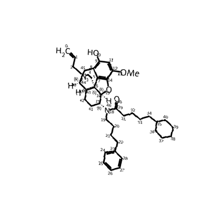 C=CCN1CC[C@]23c4c5c(O)cc(OC)c4O[C@H]2[C@H](N(CCCCc2ccccc2)C(=O)CCCCC2CCCCC2)CC[C@H]3[C@H]1C5